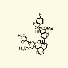 C=CC(=O)N1C[C@H](C)N(c2ncnc3ccc(-c4cnc(OC)c(NS(=O)(=O)c5ccc(F)cc5F)c4)cc23)C[C@H]1C